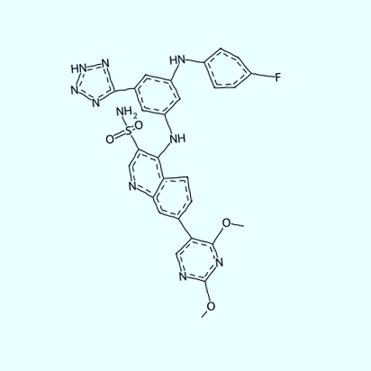 COc1ncc(-c2ccc3c(Nc4cc(Nc5ccc(F)cc5)cc(-c5nn[nH]n5)c4)c(S(N)(=O)=O)cnc3c2)c(OC)n1